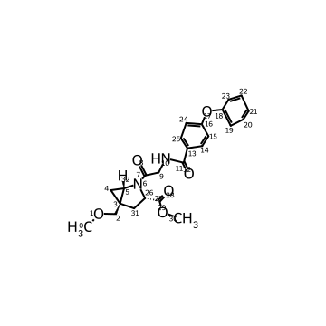 COC[C@@]12C[C@@H]1N(C(=O)CNC(=O)c1ccc(Oc3ccccc3)cc1)[C@H](C(=O)OC)C2